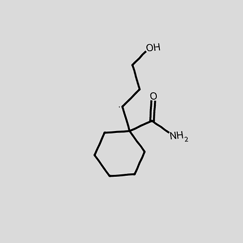 NC(=O)C1([CH]CCO)CCCCC1